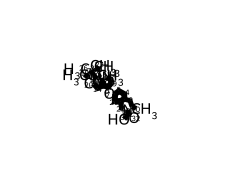 CC1Cc2ccc(Oc3ccnc4c3ccn4[Si](C(C)C)(C(C)C)C(C)C)cc2CN1C(=O)O